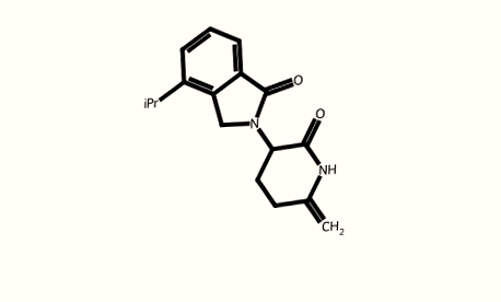 C=C1CCC(N2Cc3c(cccc3C(C)C)C2=O)C(=O)N1